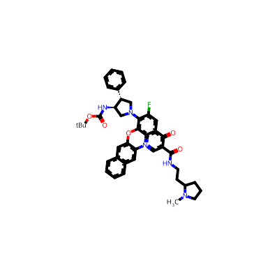 CN1CCCC1CCNC(=O)c1cn2c3c(c(N4C[C@@H](NC(=O)OC(C)(C)C)[C@H](c5ccccc5)C4)c(F)cc3c1=O)Oc1cc3ccccc3cc1-2